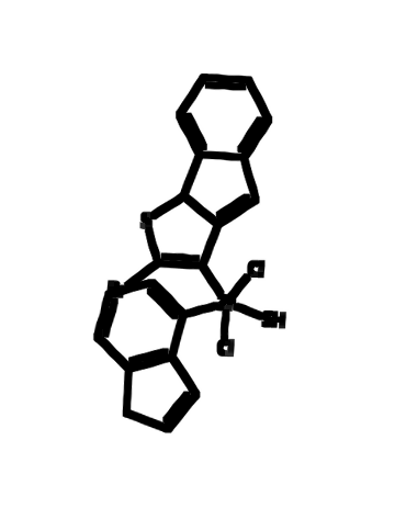 [SH][Zr]([Cl])([Cl])([C]1=C(Br)SC2C1=Cc1ccccc12)[c]1cccc2c1C=CC2